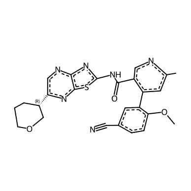 COc1ccc(C#N)cc1-c1cc(C)ncc1C(=O)Nc1nc2ncc([C@H]3CCCOC3)nc2s1